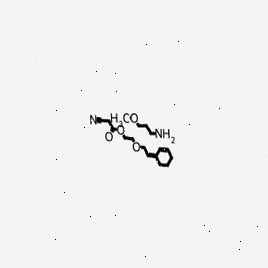 COCCCN.N#CCC(=O)OCCOCC=C1C=CCCC1